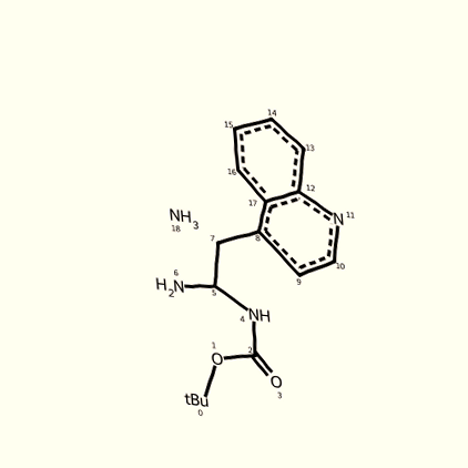 CC(C)(C)OC(=O)NC(N)Cc1ccnc2ccccc12.N